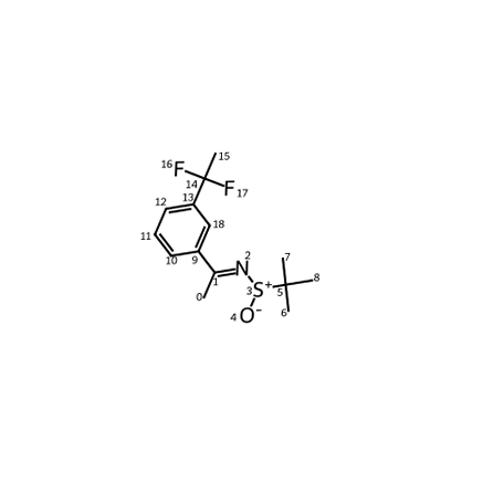 CC(=N[S+]([O-])C(C)(C)C)c1cccc(C(C)(F)F)c1